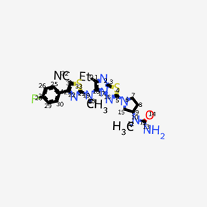 CCc1nc2sc(N3CCC(N(C)C(N)=O)C3)nn2c1N(C)c1nc(-c2ccc(F)cc2)c(C#N)s1